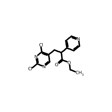 CCOC(=O)C(Cc1cnc(Cl)nc1Cl)c1ccncc1